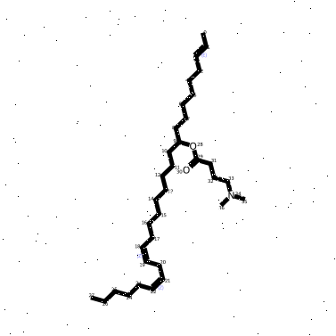 C/C=C/CCCCCCC(CCCCCCCC/C=C\C/C=C\CCCCC)OC(=O)CCCN(C)C